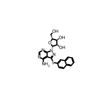 Nc1ncnc2c1c(Sc1ccc3ccccc3c1)nn2[C@@H]1O[C@@H](CO)[C@@H](O)[C@H]1O